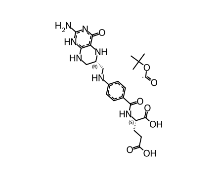 CC(C)(C)O[C]=O.Nc1nc(=O)c2c([nH]1)NC[C@@H](CNc1ccc(C(=O)N[C@@H](CCC(=O)O)C(=O)O)cc1)N2